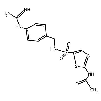 CC(=O)Nc1ncc(S(=O)(=O)NCc2ccc(NC(=N)N)cc2)s1